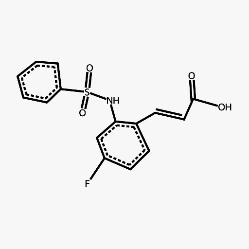 O=C(O)C=Cc1ccc(F)cc1NS(=O)(=O)c1ccccc1